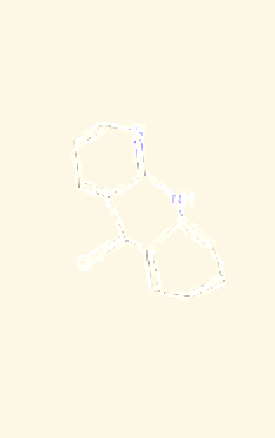 O=c1c2ccccc2[nH]c2ncccc12